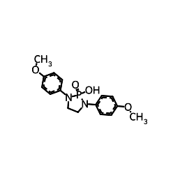 COc1ccc(N2CCN(c3ccc(OC)cc3)P2(=O)O)cc1